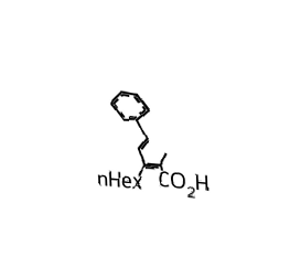 CCCCCCC(C=Cc1ccccc1)=C(C)C(=O)O